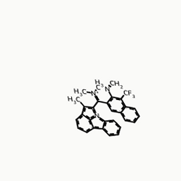 C=Nc1c(C(c2c(C)c3cccc4c5ccccc5n2c34)=[N+](C)C)cc2ccccc2c1C(F)(F)F